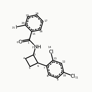 O=C(NC1CCC1c1ccc(Cl)cc1Cl)c1ccccc1I